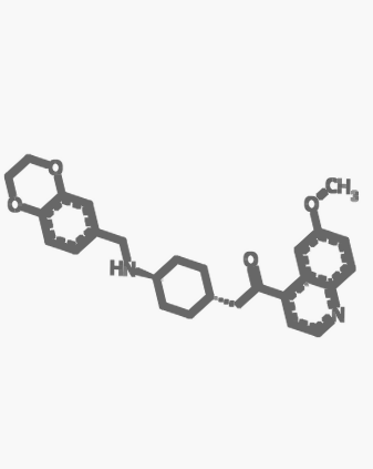 COc1ccc2nccc(C(=O)C[C@H]3CC[C@H](NCc4ccc5c(c4)OCCO5)CC3)c2c1